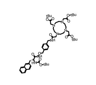 CC(C)(C)OC(=O)CN1CCN(CC(=O)NCc2ccc(CONC(=O)[C@@H](Cc3ccc4ccccc4c3)NC(=O)OC(C)(C)C)cc2)CCN(CC(=O)OC(C)(C)C)CCN(CC(=O)OC(C)(C)C)CC1